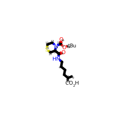 CC(CCCCNC(=O)C1CSCCN1C(=O)OC(C)(C)C)C(=O)O